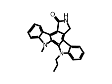 CCCn1c2ccccc2c2c3c(c4c5ccccc5n(C)c4c21)C(=O)NC3